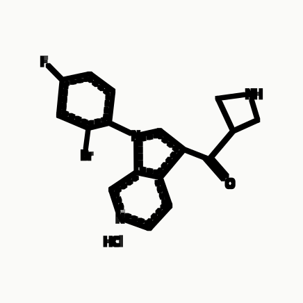 Cl.O=C(c1cn(-c2ccc(F)cc2Br)c2cnccc12)C1CNC1